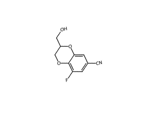 N#Cc1cc(F)c2c(c1)OC(CO)CO2